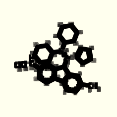 Cc1ccc2c(c1)[CH]([Zr+2]([C]1=CC=CC1)=[Si](C1CCCCC1)C1CCCCC1)c1cc(C)ccc1-2.[Cl-].[Cl-]